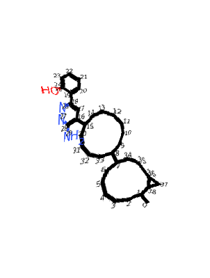 CC1CCCCCC(C2CCCCCCC(c3cc(-c4ccccc4O)nnc3N)CCCC2)CCC2CC12